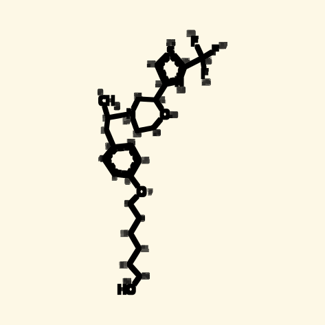 CC(Cc1ccc(OCCCCCCO)cc1)N1CCOC(c2csc(C(F)(F)F)n2)C1